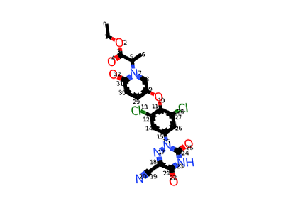 CCOC(=O)C(C)n1cc(Oc2c(Cl)cc(-n3nc(C#N)c(=O)[nH]c3=O)cc2Cl)ccc1=O